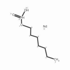 CCCCCCCO[PH](=O)O.[Nd]